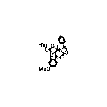 COc1ccc([C@H](C)[C@H](NC(=O)OC(C)(C)C)C(=O)N2C(=O)OC[C@H]2c2ccccc2)cc1